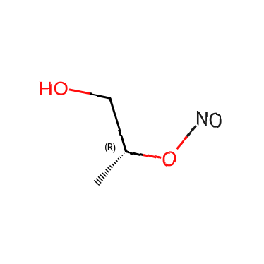 C[C@H](CO)ON=O